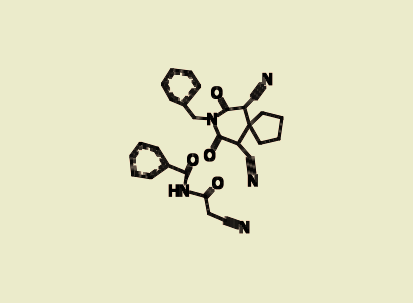 N#CC1C(=O)N(Cc2ccccc2)C(=O)C(C#N)C12CCCC2.N#CCC(=O)NC(=O)c1ccccc1